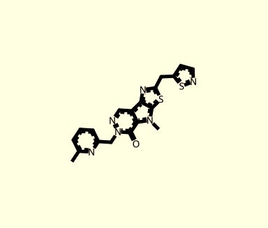 Cc1cccc(Cn2ncc3c4nc(Cc5ccns5)sc4n(C)c3c2=O)n1